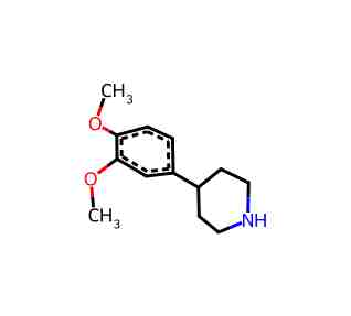 COc1ccc(C2CCNCC2)cc1OC